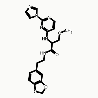 COCC(Nc1ccnc(-n2ccnc2)n1)C(=O)NCCc1ccc2c(c1)OCO2